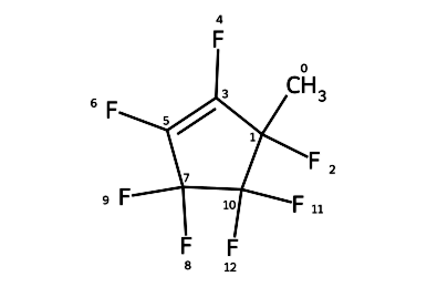 CC1(F)C(F)=C(F)C(F)(F)C1(F)F